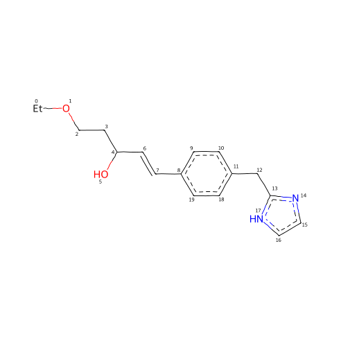 CCOCCC(O)C=Cc1ccc(Cc2ncc[nH]2)cc1